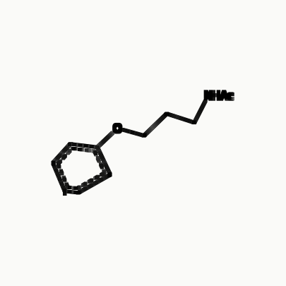 CC(=O)NCCCOc1cc[c]cc1